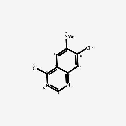 CSc1cc2c(Cl)ncnc2cc1Cl